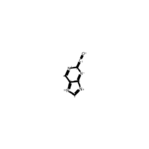 O=C=c1ncc2c(n1)N=CN=2